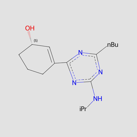 CCCCc1nc(NC(C)C)nc(C2=C[C@@H](O)CCC2)n1